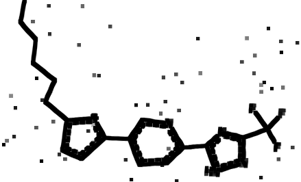 CCCCCCc1ccc(-c2ccc(-c3nc(C(F)(F)F)n[nH]3)nc2)s1